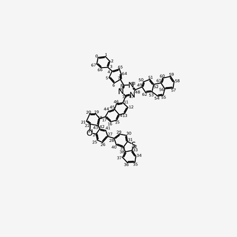 c1ccc(-c2ccc(-c3nc(-c4ccc5ccc(-c6cccc7oc8ccc(-c9ccc%10sc%11ccccc%11c%10c9)cc8c67)cc5c4)nc(-c4ccc5c(ccc6ccccc65)c4)n3)cc2)cc1